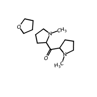 C1CCOC1.CN1CCCC1C(=O)C1CCCN1C